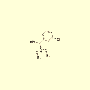 CCCC(c1cccc(Cl)c1)[SiH](OCC)OCC